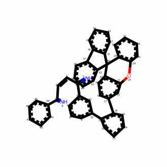 N=C(/C=C\C(=N)c1cccc(-c2ccccc2-c2ccc3c(c2)Oc2ccccc2C32c3ccccc3-c3ccccc32)c1)c1ccccc1